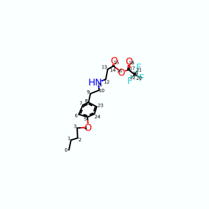 CCCCOc1ccc(CCNCCC(=O)OC(=O)C(F)(F)F)cc1